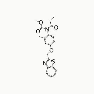 CCC(=O)N(C(=O)OC)c1ccc(OCc2nc3ccccc3s2)cc1C